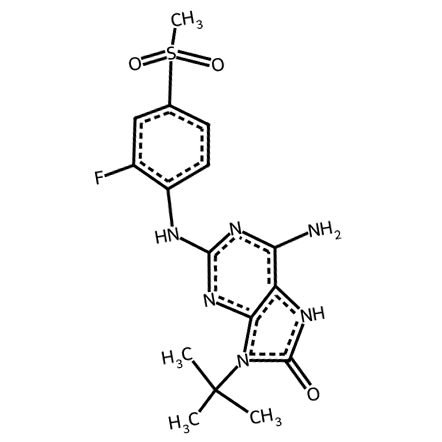 CC(C)(C)n1c(=O)[nH]c2c(N)nc(Nc3ccc(S(C)(=O)=O)cc3F)nc21